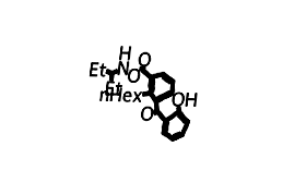 CCCCCCc1c(C(=O)ONC(CC)CC)cccc1C(=O)c1ccccc1O